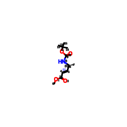 COC(=O)/C=C/[C@@H](C)NC(=O)OC(C)(C)C